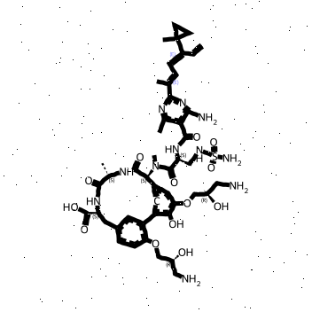 C=C/C(=C\C=C(/C)c1nc(C)c(C(=O)N[C@@H](CNS(N)(=O)=O)C(=O)N(C)[C@@H]2C(=O)N[C@@H](C)C(=O)N[C@H](C(=O)O)Cc3ccc(OC[C@H](O)CN)c(c3)-c3cc2cc(OC[C@H](O)CN)c3O)c(N)n1)C1(C)CC1